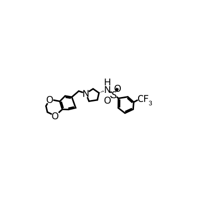 O=S(=O)(N[C@@H]1CCN(Cc2ccc3c(c2)OCCO3)C1)c1cccc(C(F)(F)F)c1